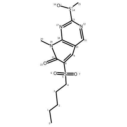 CCCCCS(=O)(=O)c1cc2cnc([S+](C)[O-])nc2n(C)c1=O